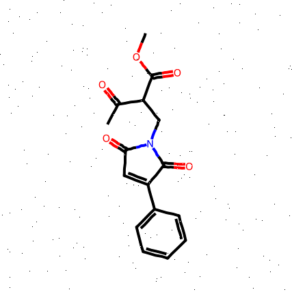 COC(=O)C(CN1C(=O)C=C(c2ccccc2)C1=O)C(C)=O